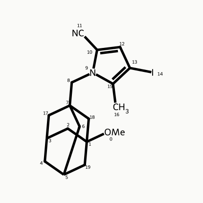 COC12CC3CC(CC(Cn4c(C#N)cc(I)c4C)(C3)C1)C2